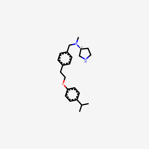 CC(C)c1ccc(OCCc2ccc(CN(C)[C@H]3CCNC3)cc2)cc1